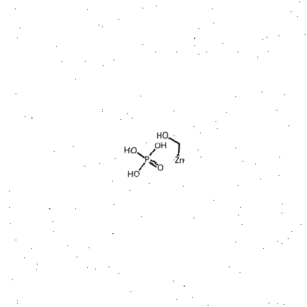 O=P(O)(O)O.O[CH2][Zn]